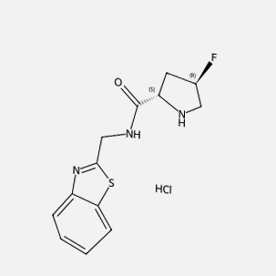 Cl.O=C(NCc1nc2ccccc2s1)[C@@H]1C[C@@H](F)CN1